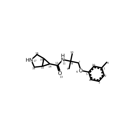 Cc1cccc(OCC(C)(C)NC(=O)C2C3CNCC32)c1